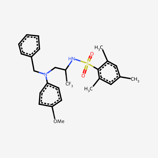 COc1ccc(N(Cc2ccccc2)CC(NS(=O)(=O)c2c(C)cc(C)cc2C)C(F)(F)F)cc1